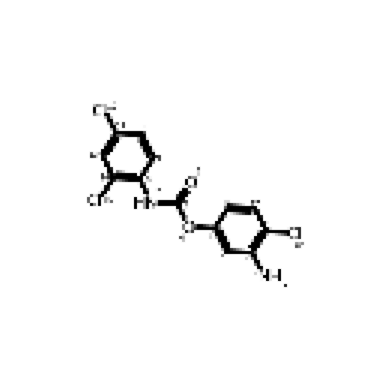 Nc1cc(OC(=O)Nc2ccc(Cl)cc2Cl)ccc1Cl